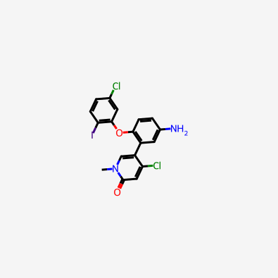 Cn1cc(-c2cc(N)ccc2Oc2cc(Cl)ccc2I)c(Cl)cc1=O